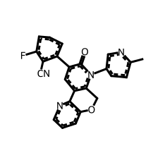 Cc1ccc(-n2c3c(cc(-c4cccc(F)c4C#N)c2=O)-c2ncccc2OC3)cn1